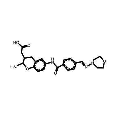 CC1Oc2ccc(NC(=O)c3ccc(C=NN4CCOCC4)cc3)cc2CC1CC(=O)O